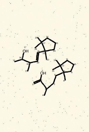 C=C(O)C(C)CCC1(C)CCCC1(C)C.CC(O)C(C)C=CC1(C)CCCC1(C)C